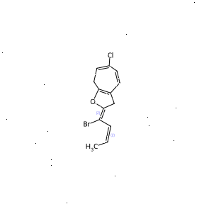 C/C=C\C(Br)=C1/CC2=C(CC=C(Cl)C=C2)O1